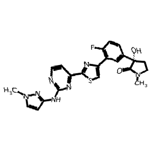 CN1CC[C@](O)(c2ccc(F)c(-c3csc(-c4ccnc(Nc5ccn(C)n5)n4)n3)c2)C1=O